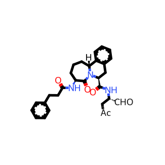 CC(=O)C[C@@H](C=O)NC(=O)[C@@H]1Cc2ccccc2[C@H]2CCC[C@H](NC(=O)CCc3ccccc3)C(=O)N21